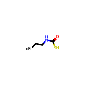 CCCCCNC(=O)S